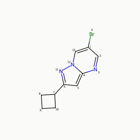 Brc1cnc2cc(C3CCC3)nn2c1